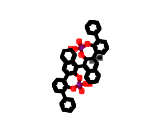 O=P1(O)Oc2c(-c3ccccc3)cccc2-c2cc3c(c(C4=c5ccccc5=C[C@@H]5c6cccc(-c7ccccc7)c6OP(=O)(O)OC45)c2O1)=CCCC=3